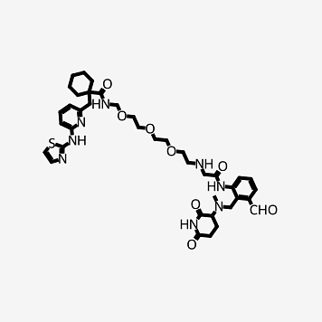 CN(Cc1c(C=O)cccc1NC(=O)CNCCOCCOCCOCNC(=O)C1(Cc2cccc(Nc3nccs3)n2)CCCCC1)C1CCC(=O)NC1=O